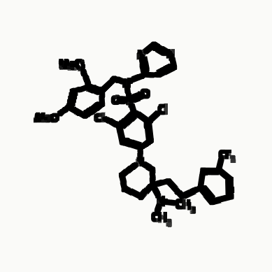 COc1ccc(CN(c2ccncn2)S(=O)(=O)c2c(Cl)cc(N3CCCC(CCc4cccc(C(F)(F)F)c4)(N(C)C)C3)cc2Cl)c(OC)c1